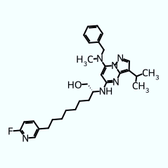 CC(C)c1cnn2c(N(C)Cc3ccccc3)cc(N[C@@H](CO)CCCCCCCc3ccc(F)nc3)nc12